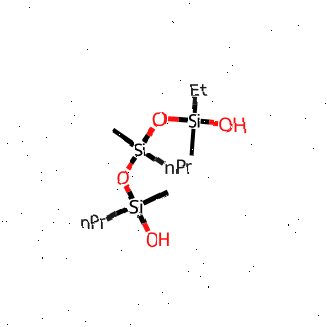 CCC[Si](C)(O)O[Si](C)(CCC)O[Si](C)(O)CC